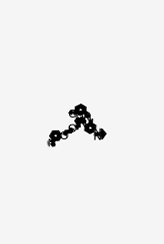 COc1cccc(CN(Cc2cccc(-n3cccn3)c2)c2nc(COCCOc3cccc(N(C)C)c3)co2)c1